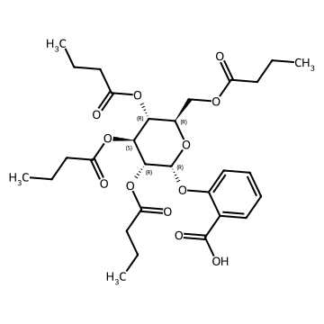 CCCC(=O)OC[C@H]1O[C@H](Oc2ccccc2C(=O)O)[C@H](OC(=O)CCC)[C@@H](OC(=O)CCC)[C@@H]1OC(=O)CCC